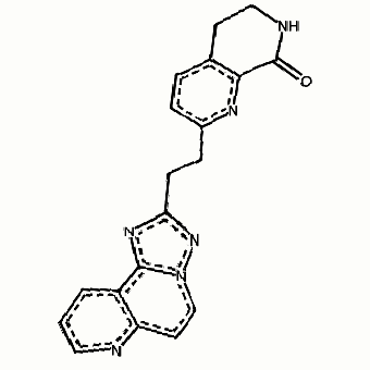 O=C1NCCc2ccc(CCc3nc4c5cccnc5ccn4n3)nc21